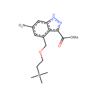 COC(=O)c1n[nH]c2cc([N+](=O)[O-])cc(COCC[Si](C)(C)C)c12